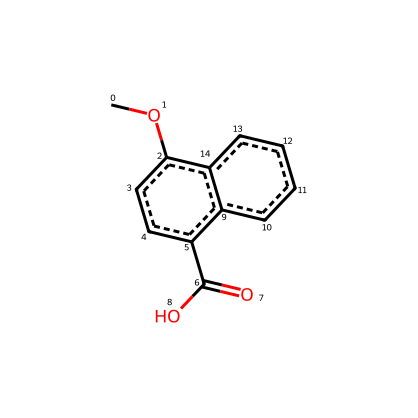 COc1ccc(C(=O)O)c2ccccc12